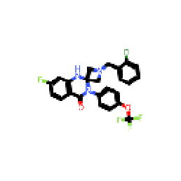 O=C1c2ccc(F)cc2NC2(CN(Cc3ccccc3Cl)C2)N1c1ccc(OC(F)(F)F)cc1